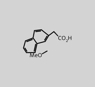 COC.O=C(O)Cc1ccc2ccccc2c1